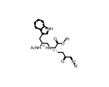 CC(=O)N[C@H](CN[C@@H](CCC(=O)C=[N+]=[N-])C(=O)OC(C)C)Cc1c[nH]c2ccccc12